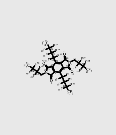 O=c1c2c(C(F)(F)C(F)(F)C(F)(F)C(F)(F)F)c3c(=O)n(CC(F)(F)C(F)(F)C(F)(F)F)c(=O)c3c(C(F)(F)C(F)(F)C(F)(F)C(F)(F)F)c2c(=O)n1CC(F)(F)C(F)(F)C(F)(F)F